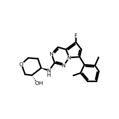 Cc1cccc(C)c1-c1cc(F)c2cnc(N[C@@H]3CCOC[C@H]3O)nn12